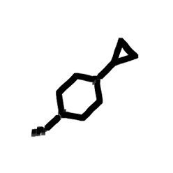 CCCN1CCN(C2CC2)CC1